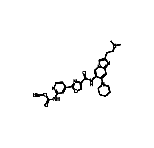 CN(C)CCc1cn2cc(NC(=O)c3coc(-c4ccnc(NC(=O)OC(C)(C)C)c4)n3)c(N3CCCCC3)cc2n1